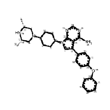 C[C@@H]1CN(C2CCC(n3cc(-c4ccc(Oc5ccccc5)cc4)c4c(N)ncnc43)CC2)C[C@H](C)N1